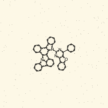 c1ccc(-c2nc(-n3c4ccccc4c4c5ccccc5c5c(c6cccc7c8ccccc8n5c76)c43)nc3c2oc2ccccc23)cc1